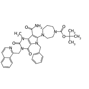 Cn1c(=O)n(Cc2nccc3ccccc23)c(=O)c2c1c(C(N)=O)c(N1CCCN(C(=O)OC(C)(C)C)CC1)n2Cc1ccccc1